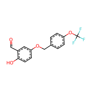 O=Cc1cc(OCc2ccc(OC(F)(F)F)cc2)ccc1O